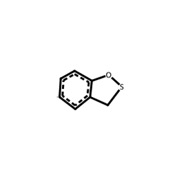 [c]1ccc2c(c1)CSO2